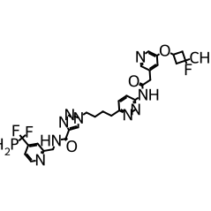 CC1(F)CC(Oc2cncc(CC(=O)Nc3ccc(CCCCn4cc(C(=O)NCc5cc(C(F)(F)P)ccn5)nn4)nn3)c2)C1